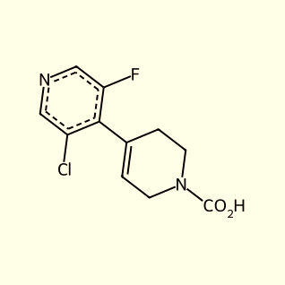 O=C(O)N1CC=C(c2c(F)cncc2Cl)CC1